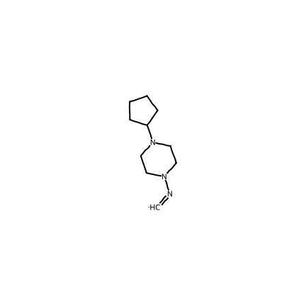 [CH]=NN1CCN(C2CCCC2)CC1